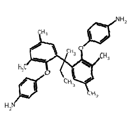 CCC(C)(c1cc(C)cc(C)c1Oc1ccc(N)cc1)c1cc(C)cc(C)c1Oc1ccc(N)cc1